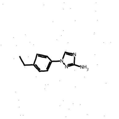 CCc1ccc(-n2cnc(N)n2)cc1